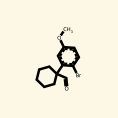 COc1ccc(Br)c(C2(C=O)CCCCC2)c1